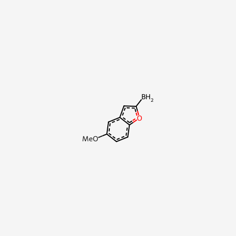 Bc1cc2cc(OC)ccc2o1